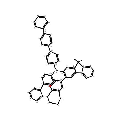 CC1(C)c2ccccc2-c2cc(-c3ccc4c(c3)CCCC4)c(N(c3ccc(-c4ccccc4)cc3)c3ccc(-c4ccc(-c5ccccc5)cc4)cc3)cc21